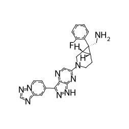 NC[C@]1(c2ccccc2F)[C@@H]2CCN(c3cnc4c(-c5ccn6ncnc6c5)n[nH]c4n3)C[C@@H]21